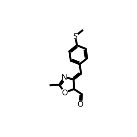 CSc1ccc(/C=C2\N=C(C)OC2C=O)cc1